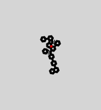 c1ccc(-c2cccc3c2c2ccccc2n3-c2ccccc2-c2ccc(N(c3ccccc3)c3ccc(-c4ccc(-c5cccc6ccccc56)cc4)cc3)cc2)cc1